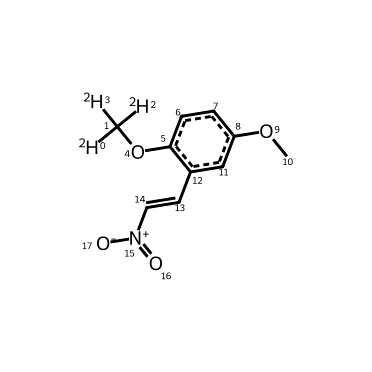 [2H]C([2H])([2H])Oc1ccc(OC)cc1/C=C/[N+](=O)[O-]